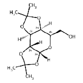 CC1(C)O[C@H]2[C@@H](O1)[C@@H](CO)O[C@@H]1OC(C)(C)O[C@@H]12